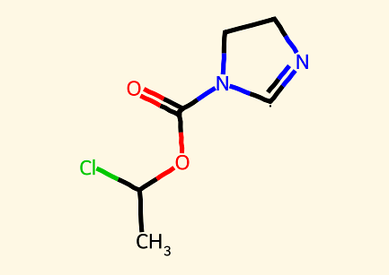 CC(Cl)OC(=O)N1[C]=NCC1